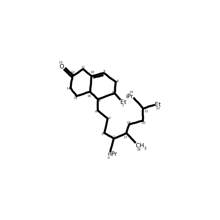 CCCC(CCCC1C(CC)CC=C2CC(=O)CCC21)C(C)CCC(CC)C(C)C